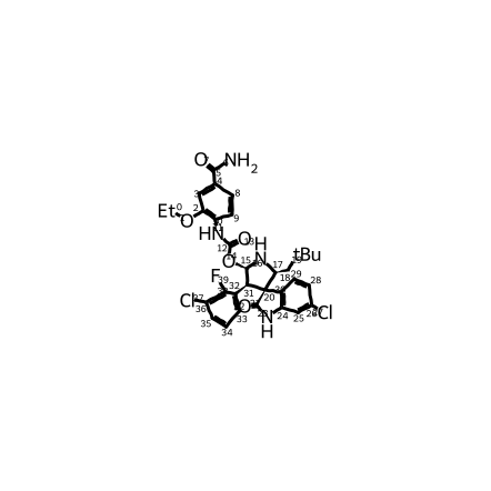 CCOc1cc(C(N)=O)ccc1NC(=O)O[C@H]1N[C@@H](CC(C)(C)C)[C@@]2(C(=O)Nc3cc(Cl)ccc32)[C@H]1c1cccc(Cl)c1F